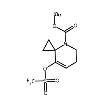 CC(C)(C)OC(=O)N1CCC=C(OS(=O)(=O)C(F)(F)F)C12CC2